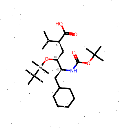 CC(C)[C@H](C[C@H](O[Si](C)(C)C(C)(C)C)[C@H](CC1CCCCC1)NC(=O)OC(C)(C)C)C(=O)O